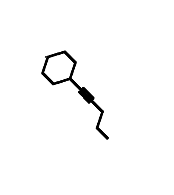 CCCC#CC1CC[CH]CC1